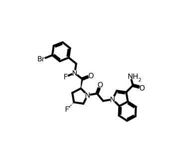 NC(=O)c1cn(CC(=O)N2C[C@H](F)C[C@H]2C(=O)N(F)Cc2cccc(Br)c2)c2ccccc12